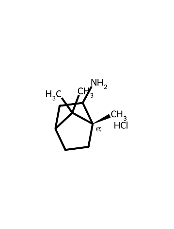 CC1(C)C2CC[C@@]1(C)C(N)C2.Cl